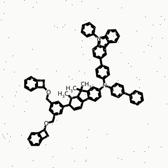 CC1C2=C(C=CC1c1cc(COC3Cc4ccccc43)cc(COC3Cc4ccccc43)c1)c1ccc(N(c3ccc(-c4ccccc4)cc3)c3ccc(-c4ccc5c(c4)c4ccccc4n5-c4ccccc4)cc3)cc1C2(C)C